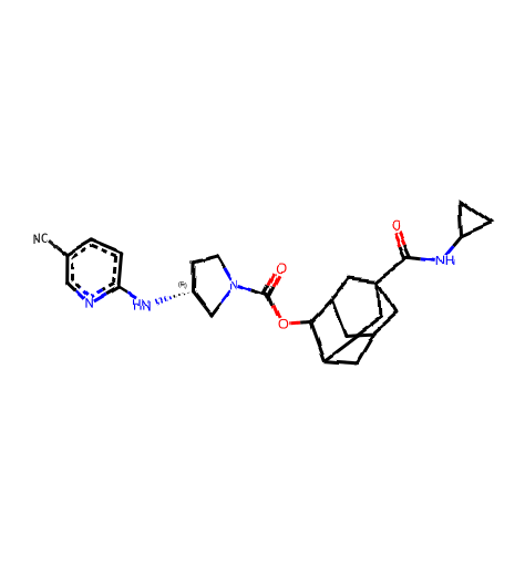 N#Cc1ccc(N[C@@H]2CCN(C(=O)OC3C4CC5CC3CC(C(=O)NC3CC3)(C5)C4)C2)nc1